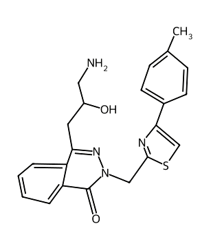 Cc1ccc(-c2csc(Cn3nc(CC(O)CN)c4ccccc4c3=O)n2)cc1